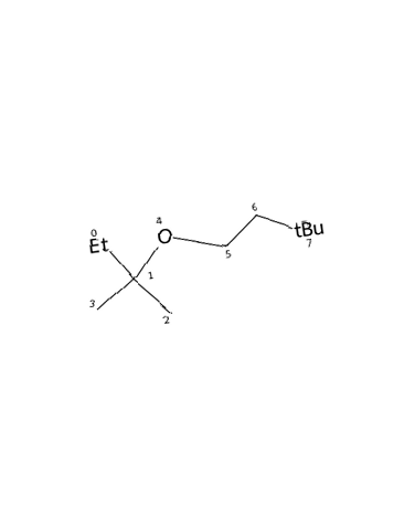 CCC(C)(C)OCCC(C)(C)C